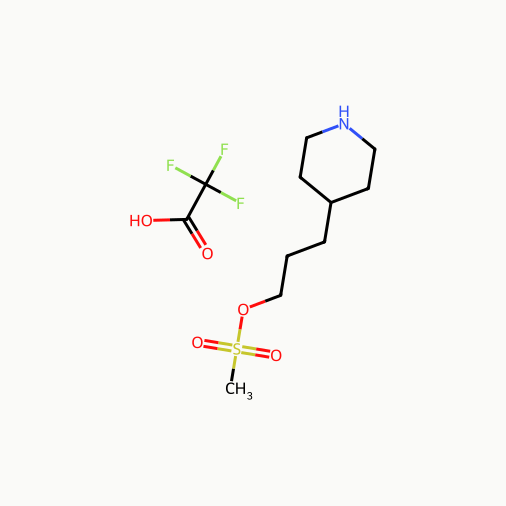 CS(=O)(=O)OCCCC1CCNCC1.O=C(O)C(F)(F)F